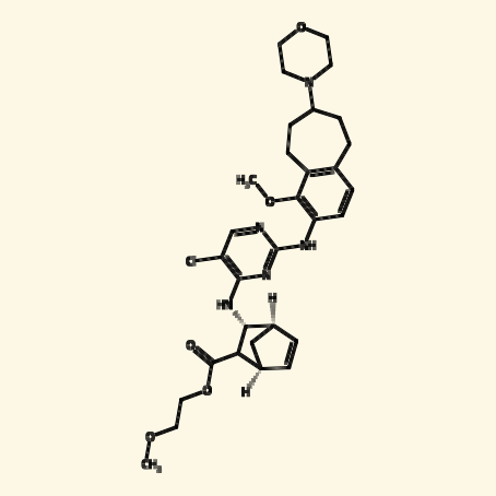 COCCOC(=O)C1[C@@H]2C=C[C@@H](C2)[C@H]1Nc1nc(Nc2ccc3c(c2OC)CCC(N2CCOCC2)CC3)ncc1Cl